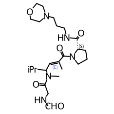 C/C(=C\C(C(C)C)N(C)C(=O)CNC=O)C(=O)N1CCC[C@H]1C(=O)NCCCN1CCOCC1